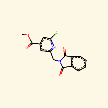 COC(=O)c1cc(Cl)nc(CN2C(=O)c3ccccc3C2=O)c1